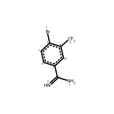 N=C(N)c1ccc(Br)c(C(F)(F)F)c1